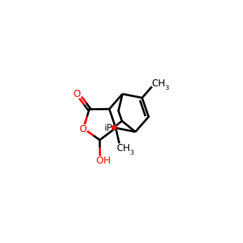 CC1=CC2C(C(C)C)CC1C1C(=O)OC(O)C21C